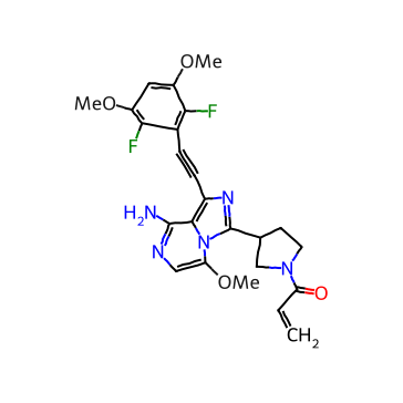 C=CC(=O)N1CCC(c2nc(C#Cc3c(F)c(OC)cc(OC)c3F)c3c(N)ncc(OC)n23)C1